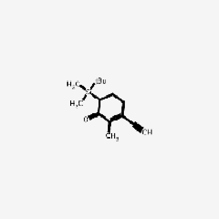 C#CC1=C(C)C(=O)C([Si](C)(C)C(C)(C)C)CC1